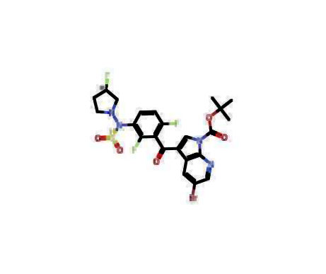 CC(C)(C)OC(=O)n1cc(C(=O)c2c(F)ccc(N(N3CC[C@@H](F)C3)[SH](=O)=O)c2F)c2cc(Br)cnc21